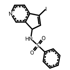 O=S(=O)(NC1C=C(I)c2ccncc21)c1ccccc1